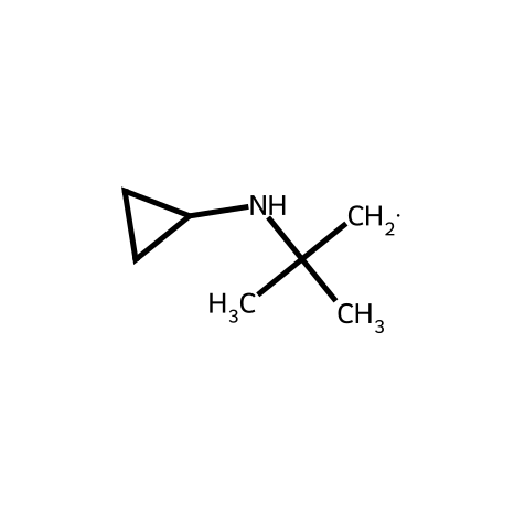 [CH2]C(C)(C)NC1CC1